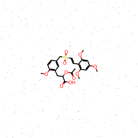 COc1cc(OC)c(/C=C/S(=O)(=O)Cc2ccc(OC)c(CC(OC(C)=O)C(=O)O)c2)c(OC)c1